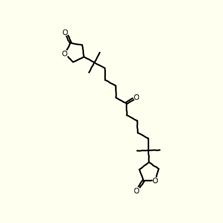 CC(C)(CCCCC(=O)CCCCC(C)(C)C1COC(=O)C1)C1COC(=O)C1